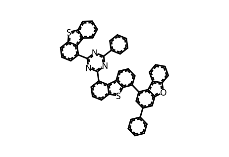 c1ccc(-c2cc(-c3cccc4c3sc3cccc(-c5nc(-c6ccccc6)nc(-c6cccc7sc8ccccc8c67)n5)c34)c3c(c2)oc2ccccc23)cc1